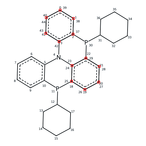 c1ccc(N(c2ccccc2P(C2CCCCC2)C2CCCCC2)c2ccccc2P(C2CCCCC2)C2CCCCC2)cc1